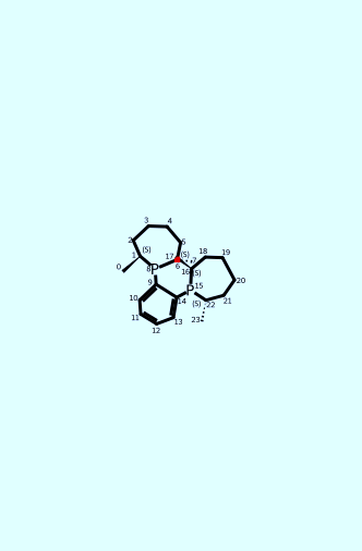 C[C@H]1CCCC[C@H](C)P1c1ccccc1P1[C@@H](C)CCCC[C@@H]1C